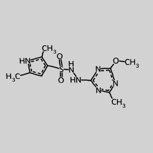 COc1nc(C)nc(NNS(=O)(=O)c2cc(C)[nH]c2C)n1